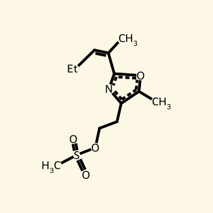 CC/C=C(/C)c1nc(CCOS(C)(=O)=O)c(C)o1